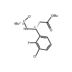 CC(C)COC(=O)C[C@@H](N[S@@+]([O-])C(C)(C)C)c1cccc(Cl)c1F